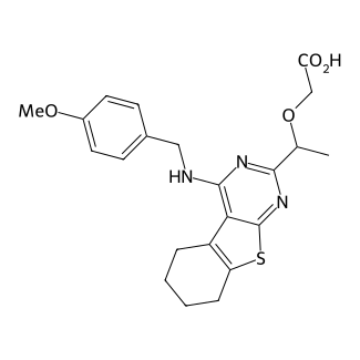 COc1ccc(CNc2nc(C(C)OCC(=O)O)nc3sc4c(c23)CCCC4)cc1